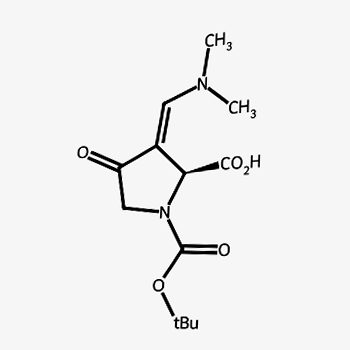 CN(C)/C=C1/C(=O)CN(C(=O)OC(C)(C)C)[C@@H]1C(=O)O